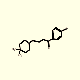 CC1(C)CCN(CCCC(=O)c2ccc(Br)cc2)CC1